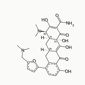 CN(C)Cc1ccc(-c2ccc(O)c3c2C[C@H]2C[C@H]4[C@@H](N(C)C)C(O)=C(C(N)=O)C(=O)[C@@]4(O)C(O)=C2C3=O)o1